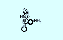 Nc1ccc(C(=O)N2CCCCC2)c(S(=O)(=O)Nc2csnn2)c1